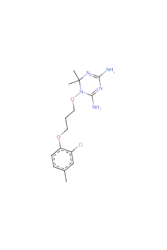 Cc1ccc(OCCCON2C(N)=NC(N)=NC2(C)C)c(Cl)c1